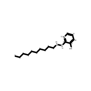 CCCCCCCCCCSSc1ncccc1I